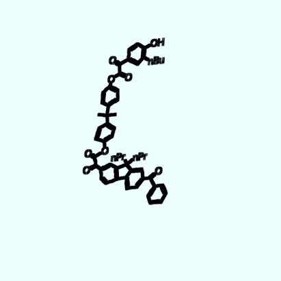 CCCCc1cc(C(=O)C(=O)Oc2ccc(C(C)(C)c3ccc(OC(=O)C(=O)c4ccc5c(c4)C(CCC)(CCC)c4cc(C(=O)c6ccccc6)ccc4-5)cc3)cc2)ccc1O